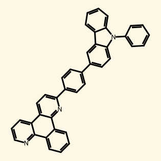 c1ccc(-n2c3ccccc3c3cc(-c4ccc(-c5ccc6c7cccnc7c7ccccc7c6n5)cc4)ccc32)cc1